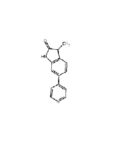 CC1C(=O)Nc2cc(-c3ccncc3)ccc21